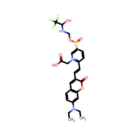 CCN(CC)c1ccc2cc(/C=C/c3ccc([PH](=O)OCNC(O)C(F)(F)F)c[n+]3CC(=O)O)c(=O)oc2c1